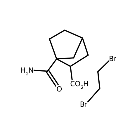 BrCCBr.NC(=O)C12CCC(CC1C(=O)O)C2